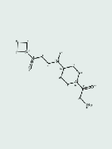 CN(CCC(=O)N1CCC1)C1CCN(C(=O)CC(C)(C)C)CC1